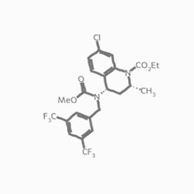 CCOC(=O)N1c2cc(Cl)ccc2[C@@H](N(Cc2cc(C(F)(F)F)cc(C(F)(F)F)c2)C(=O)OC)C[C@H]1C